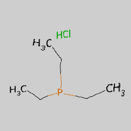 CCP(CC)CC.Cl